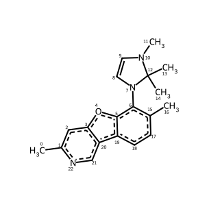 Cc1cc2oc3c(N4C=CN(C)C4(C)C)c(C)ccc3c2cn1